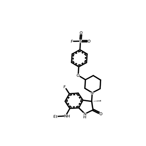 CCNc1cc(F)cc2c1NC(=O)[C@]2(C)N1CCCC(Oc2ccc(S(=O)(=O)F)cc2)C1